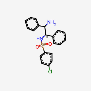 NC(c1ccccc1)[C@H](NS(=O)(=O)c1ccc(Cl)cc1)c1ccccc1